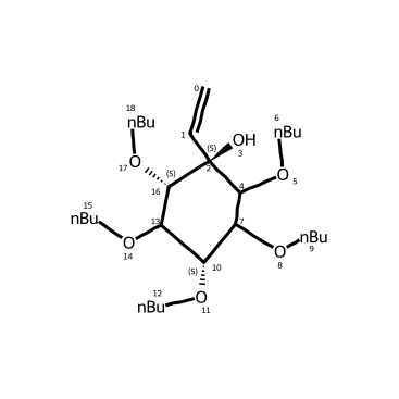 C=C[C@]1(O)C(OCCCC)C(OCCCC)[C@H](OCCCC)C(OCCCC)[C@@H]1OCCCC